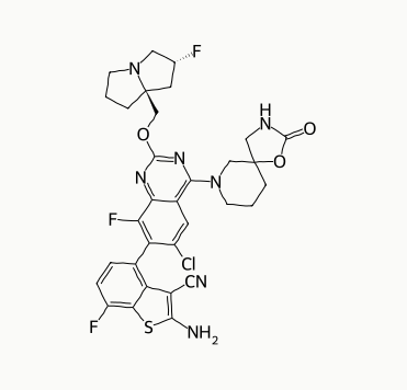 N#Cc1c(N)sc2c(F)ccc(-c3c(Cl)cc4c(N5CCCC6(CNC(=O)O6)C5)nc(OC[C@@]56CCCN5C[C@H](F)C6)nc4c3F)c12